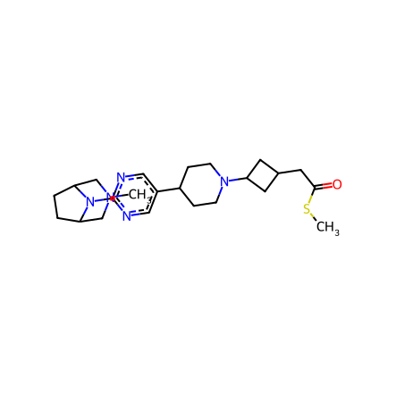 CSC(=O)CC1CC(N2CCC(c3cnc(N4C5CCC4CN(C)C5)nc3)CC2)C1